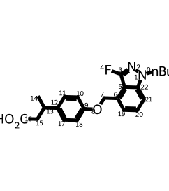 CCCCn1nc(F)c2c(COc3ccc(C(C)CC(=O)O)cc3)cccc21